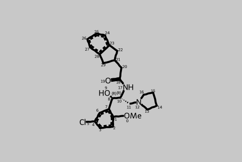 COc1ccc(Cl)cc1[C@@H](O)[C@@H](CN1CCCC1)NC(=O)CC1Cc2ccccc2C1